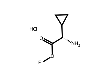 CCOC(=O)[C@@H](N)C1CC1.Cl